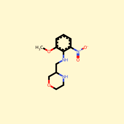 COc1cccc([N+](=O)[O-])c1NCC1COCCN1